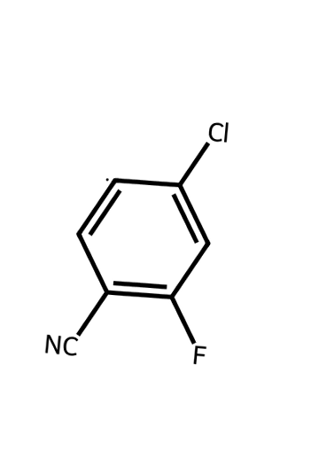 N#Cc1c[c]c(Cl)cc1F